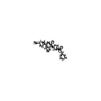 N#Cc1ccc(Cn2cncc2C(C(N)=O)N2CCN(C(=O)OCc3ccccc3)CC2)cc1